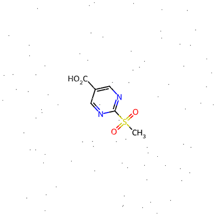 CS(=O)(=O)c1ncc(C(=O)O)cn1